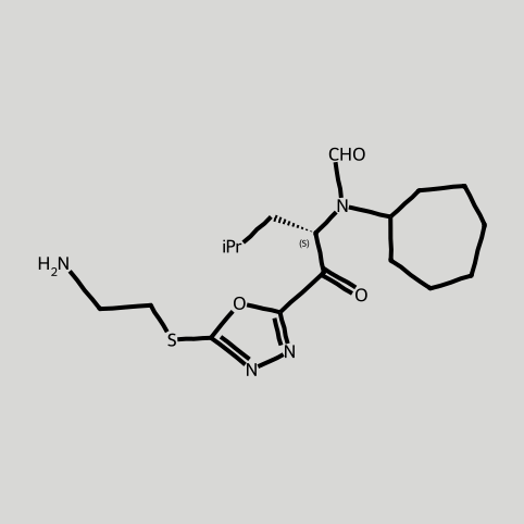 CC(C)C[C@@H](C(=O)c1nnc(SCCN)o1)N(C=O)C1CCCCCC1